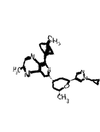 Cc1cnc2c(C34CC(C)(C3)C4)nc([C@H]3C[C@@H](C)O[C@H](c4cnn(C5CC5)c4)C3)cc2n1